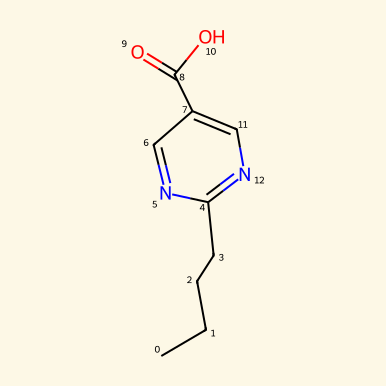 CCCCc1ncc(C(=O)O)cn1